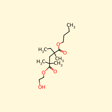 CCCCOC(=O)C(C)(CC)CC(C)(C)C(=O)OCCO